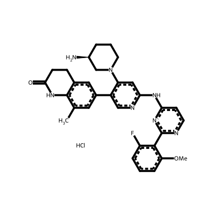 COc1cccc(F)c1-c1nccc(Nc2cc(N3CCC[C@H](N)C3)c(-c3cc(C)c4c(c3)CCC(=O)N4)cn2)n1.Cl